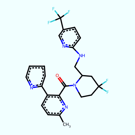 Cc1ccc(-c2ccccn2)c(C(=O)N2CCC(F)(F)CC2CNc2ccc(C(F)(F)F)cn2)n1